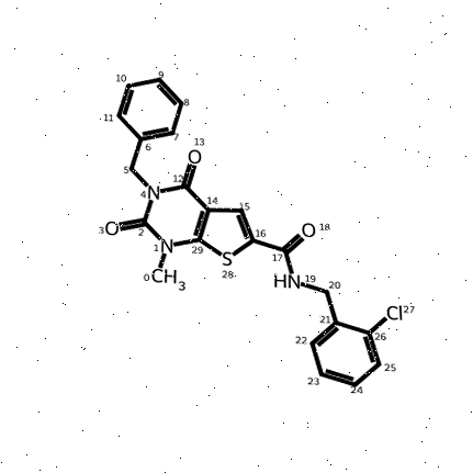 Cn1c(=O)n(Cc2ccccc2)c(=O)c2cc(C(=O)NCc3ccccc3Cl)sc21